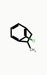 CC1Cc2[c]ccc1c2Cl